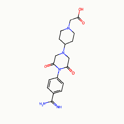 N=C(N)c1ccc(N2C(=O)CN(C3CCN(CC(=O)O)CC3)CC2=O)cc1